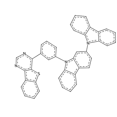 c1cc(-c2ncnc3c2sc2ccccc23)cc(-n2c3ccccc3c3ccc(-n4c5ccccc5c5ccccc54)cc32)c1